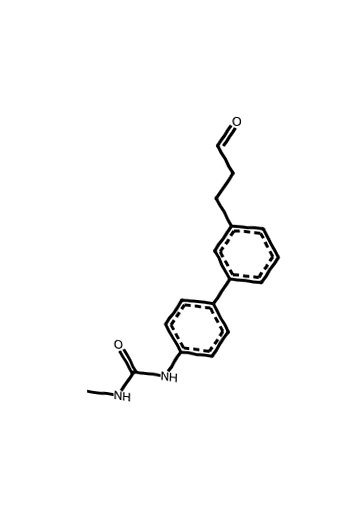 CNC(=O)Nc1ccc(-c2cccc(CCC=O)c2)cc1